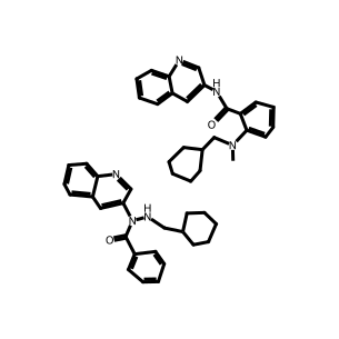 CN(CC1CCCCC1)c1ccccc1C(=O)Nc1cnc2ccccc2c1.O=C(c1ccccc1)N(NCC1CCCCC1)c1cnc2ccccc2c1